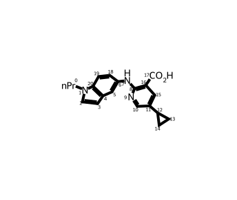 CCCn1ccc2cc(Nc3ncc(C4CC4)cc3C(=O)O)ccc21